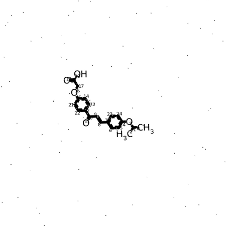 CC(C)Oc1ccc(C=CC(=O)c2ccc(OCC(=O)O)cc2)cc1